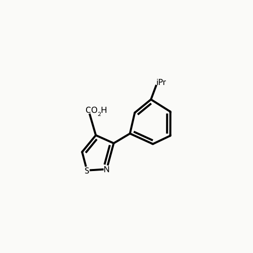 CC(C)c1cccc(-c2nscc2C(=O)O)c1